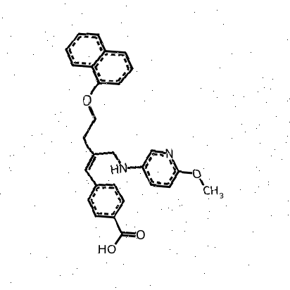 COc1ccc(NCC(=Cc2ccc(C(=O)O)cc2)CCOc2cccc3ccccc23)cn1